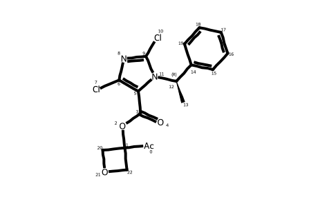 CC(=O)C1(OC(=O)c2c(Cl)nc(Cl)n2[C@H](C)c2ccccc2)COC1